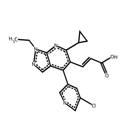 CCn1ncc2c(-c3cncc(Cl)c3)c(C=CC(=O)O)c(C3CC3)nc21